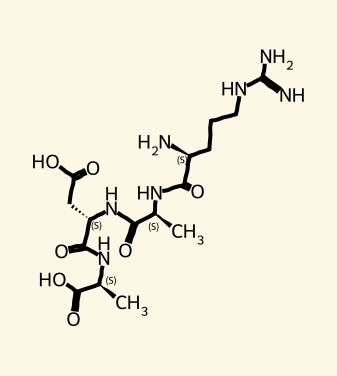 C[C@H](NC(=O)[C@H](CC(=O)O)NC(=O)[C@H](C)NC(=O)[C@@H](N)CCCNC(=N)N)C(=O)O